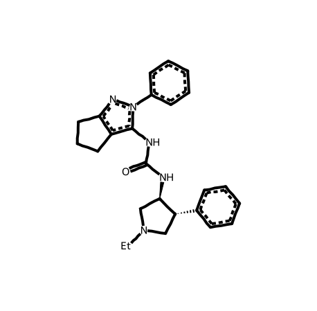 CCN1C[C@@H](NC(=O)Nc2c3c(nn2-c2ccccc2)CCC3)[C@H](c2ccccc2)C1